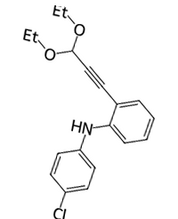 CCOC(C#Cc1ccccc1Nc1ccc(Cl)cc1)OCC